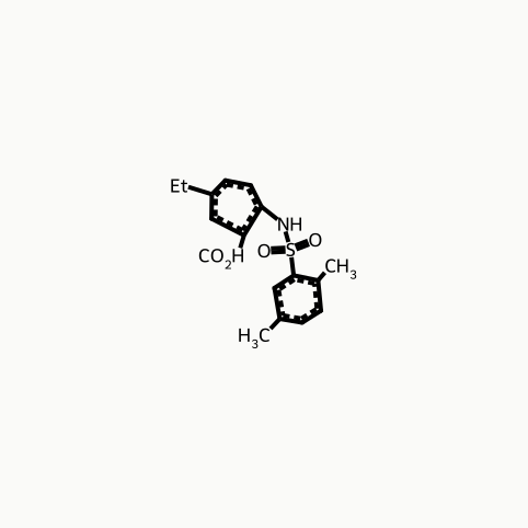 CCc1ccc(NS(=O)(=O)c2cc(C)ccc2C)c(C(=O)O)c1